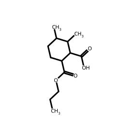 CCCOC(=O)C1CCC(C)C(C)C1C(=O)O